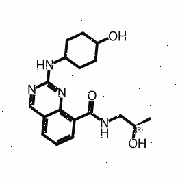 C[C@@H](O)CNC(=O)c1cccc2cnc(NC3CCC(O)CC3)nc12